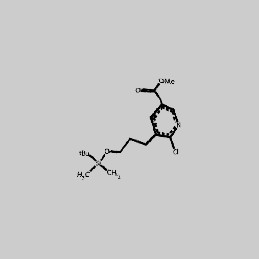 COC(=O)c1cnc(Cl)c(CCCO[Si](C)(C)C(C)(C)C)c1